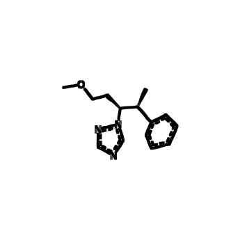 COCC[C@@H]([C@@H](C)c1ccccc1)n1cncn1